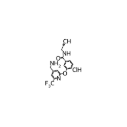 C#CCNC(=O)c1cccc(Oc2cc(CN)cc(C(F)(F)F)n2)c1.Cl